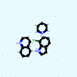 Fc1cccc2cc[nH]c12.c1ccc2ncccc2c1.c1ccncc1